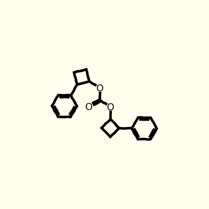 O=C(OC1CCC1c1ccccc1)OC1CCC1c1ccccc1